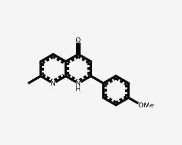 COc1ccc(-c2cc(=O)c3ccc(C)nc3[nH]2)cc1